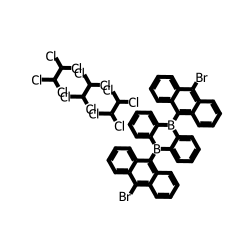 Brc1c2ccccc2c(B2c3ccccc3B(c3c4ccccc4c(Br)c4ccccc34)c3ccccc32)c2ccccc12.ClC(Cl)C(Cl)Cl.ClC(Cl)C(Cl)Cl.ClC(Cl)C(Cl)Cl